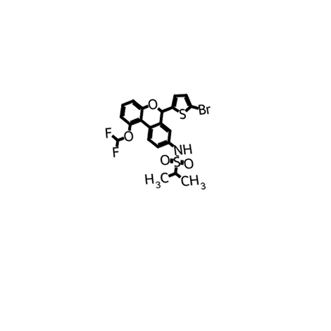 CC(C)S(=O)(=O)Nc1ccc2c(c1)C(c1ccc(Br)s1)Oc1cccc(OC(F)F)c1-2